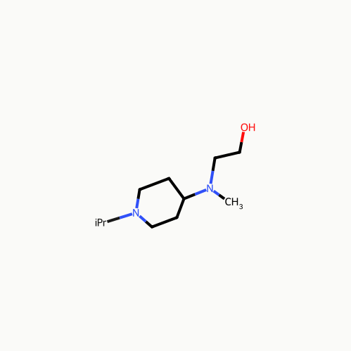 CC(C)N1CCC(N(C)CCO)CC1